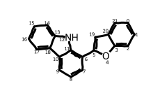 c1ccc2oc(-c3cccc4c3[nH]c3ccccc34)cc2c1